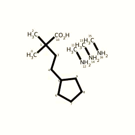 CC(C)(CCC1CCCC1)C(=O)O.CN.CN.CN